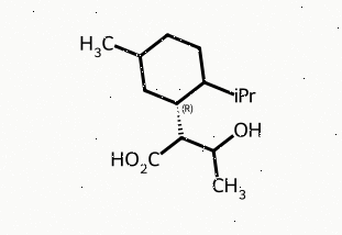 CC1CCC(C(C)C)[C@H](C(C(=O)O)C(C)O)C1